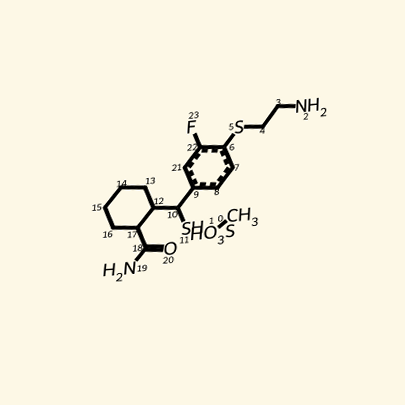 CS(=O)(=O)O.NCCSc1ccc(C(S)C2CCCCC2C(N)=O)cc1F